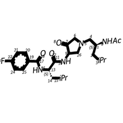 CC(=O)N[C@@H](CC(C)C)CN1CC(=O)C(NC(=O)[C@H](CC(C)C)NC(=O)c2ccc(F)cc2)C1